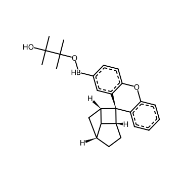 CC(C)(O)C(C)(C)OBc1ccc2c(c1)[C@@]1(c3ccccc3O2)[C@@H]2CC[C@@H]3C[C@H]1C32